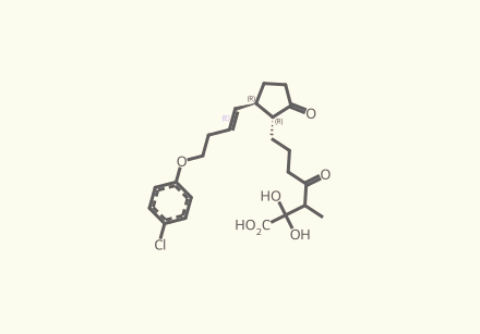 CC(C(=O)CCC[C@H]1C(=O)CC[C@@H]1/C=C/CCOc1ccc(Cl)cc1)C(O)(O)C(=O)O